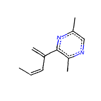 C=C(/C=C\C)c1nc(C)cnc1C